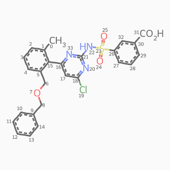 Cc1cccc(COCc2ccccc2)c1-c1cc(Cl)nc(NS(=O)(=O)c2cccc(C(=O)O)c2)n1